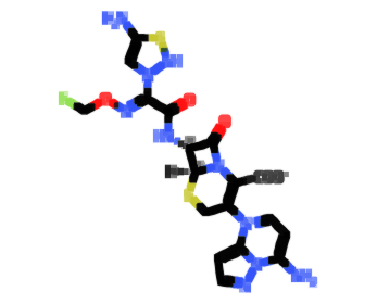 NC1=CN(C(=NOCF)C(=O)N[C@@H]2C(=O)N3C(C(=O)[O-])=C([n+]4ccc(N)n5nccc54)CS[C@@H]23)NS1